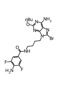 CCCCOc1nc(N)c2nc(Br)n(CCCCNC(=O)c3cc(F)c(N)c(F)c3)c2n1